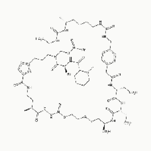 CCCC(=O)OCN(CCCc1nc(C(=O)NCC[C@H](C)C(=O)NNC(=O)OCCSSC[C@@H](NC(=O)[C@@H](CC(=O)O)NC(=O)[C@@H](CC(=O)O)NC(=O)Cc2ccc(CNC(=O)NCCCC[C@@H](C)NC(=O)NCC(=O)O)cc2)C(=O)O)cs1)C(=O)[C@@H](NC(=O)[C@H]1CCCCN1C)C(C)CC